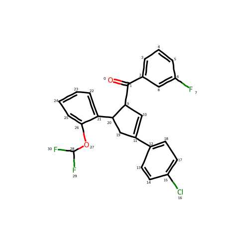 O=C(c1cccc(F)c1)C1C=C(c2ccc(Cl)cc2)CC1c1ccccc1OC(F)F